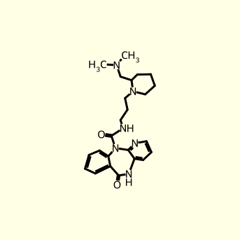 CN(C)CC1CCCCN1CCCNC(=O)N1c2ccccc2C(=O)Nc2cccnc21